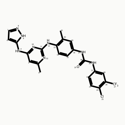 Cc1cc(Nc2ccn[nH]2)nc(Nc2ccc(NC(=O)Nc3ccc(Cl)c(C(F)(F)F)c3)cc2C)n1